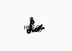 CCCN(CCC)S(=O)(=O)c1ccc(Cn2nc(NC(=O)Cc3cccc(OC)c3)c3ccccc32)cc1